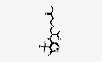 COC(=O)CCOCC(Nc1cn[nH]c(=O)c1C(F)(F)F)C(C)O